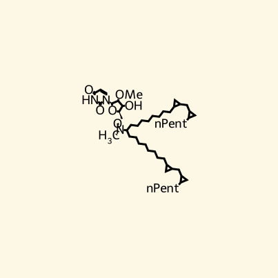 CCCCCC1CC1CC1CC1CCCCCCCCC(CCCCCCCCC1CC1CC1CC1CCCCC)N(C)OC[C@H]1O[C@@H](n2ccc(=O)[nH]c2=O)C(OC)C1O